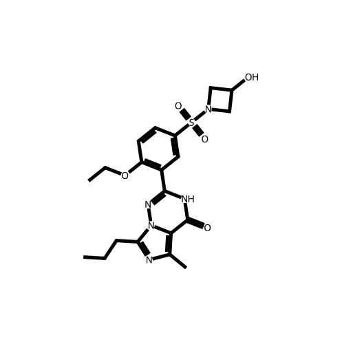 CCCc1nc(C)c2c(=O)[nH]c(-c3cc(S(=O)(=O)N4CC(O)C4)ccc3OCC)nn12